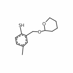 Cc1ccc(S)c(COC2CCCCO2)c1